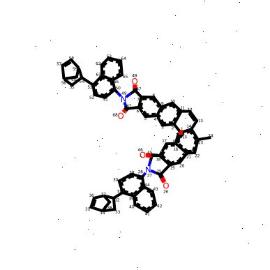 C=Cc1cc2cc3c(cc2cc1/C=C\c1cc2cc4c(cc2cc1C)C(=O)N(c1ccc(C2CC5C=CC2C5)c2ccccc12)C4=O)C(=O)N(c1ccc(C2CC4C=CC2C4)c2ccccc12)C3=O